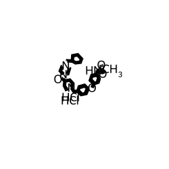 CS(=O)(=O)Nc1ccc(Oc2ccc(CN3CCC(C(=O)N4CCN(CC5CCCCC5)CC4)CC3)cc2)cc1.Cl.Cl